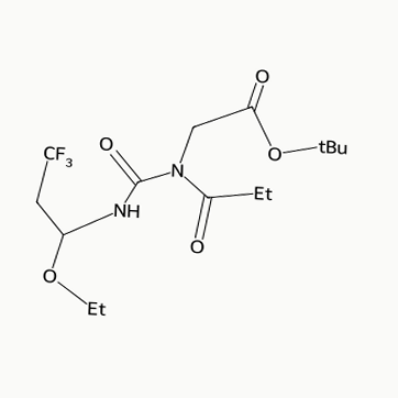 CCOC(CC(F)(F)F)NC(=O)N(CC(=O)OC(C)(C)C)C(=O)CC